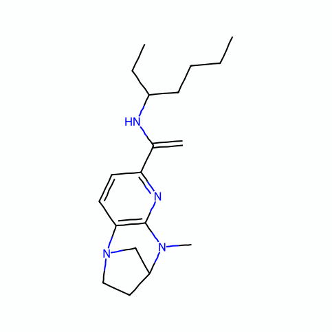 C=C(NC(CC)CCCC)c1ccc2c(n1)N(C)C1CCN2C1